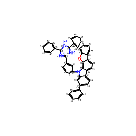 N=C(NC(/N=C/c1cccc(-n2c3cc(-c4ccccc4)ccc3c3ccc4c5ccccc5oc4c32)c1)c1ccccc1)c1ccccc1